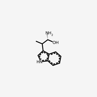 CC(c1c[nH]c2ccccc12)[C@H](N)O